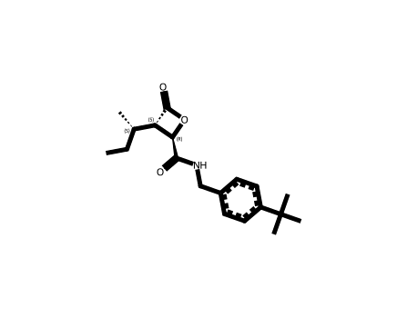 CC[C@H](C)[C@@H]1C(=O)O[C@H]1C(=O)NCc1ccc(C(C)(C)C)cc1